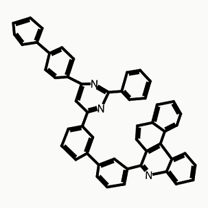 c1ccc(-c2ccc(-c3cc(-c4cccc(-c5cccc(-c6nc7ccccc7c7c6ccc6ccccc67)c5)c4)nc(-c4ccccc4)n3)cc2)cc1